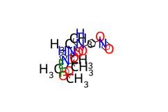 CC(=O)O/C(=C(\C(C)C)N1CCC[C@H]1C(=O)NC(=O)[C@@H](NC(=O)c1ccc(C(=O)N2CCOCC2)cc1)C(C)C)C(C)(F)F